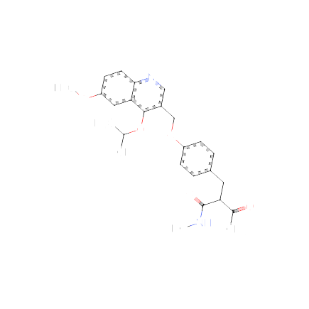 CNC(=O)C(Cc1ccc(OCc2cnc3ccc(OC)cc3c2OC(C)C)cc1)C(C)=O